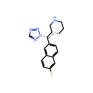 Fc1ccc2cc([C@@H]([C@H]3CCCNC3)n3ncnn3)ccc2c1